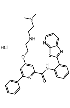 CN(C)CCNCCOc1cc(C(=O)Nc2ccccc2-c2nc3cccnc3s2)nc(-c2ccccc2)c1.Cl